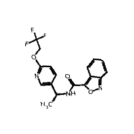 CC(NC(=O)c1onc2ccccc12)c1ccc(OCC(F)(F)F)nc1